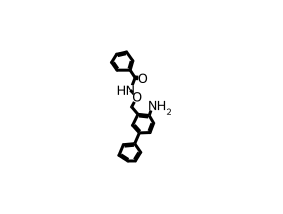 Nc1ccc(-c2ccccc2)cc1CONC(=O)c1ccccc1